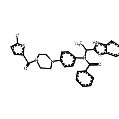 CC(c1nc2ccccc2[nH]1)N(C(=O)c1ccccc1)c1ccc(N2CCN(C(=O)c3ccc(Cl)s3)CC2)cc1